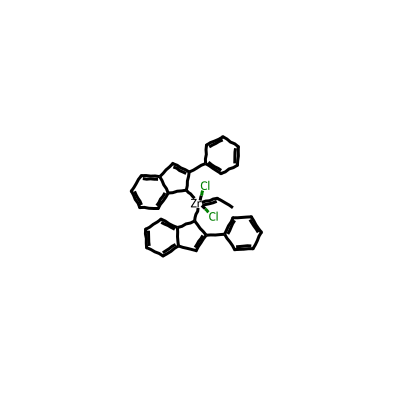 C[CH]=[Zr]([Cl])([Cl])([CH]1C(c2ccccc2)=Cc2ccccc21)[CH]1C(c2ccccc2)=Cc2ccccc21